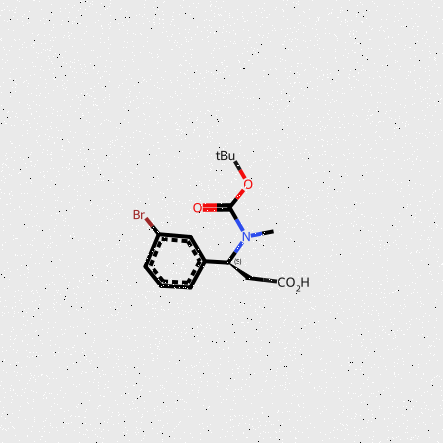 CN(C(=O)OC(C)(C)C)[C@@H](CC(=O)O)c1cccc(Br)c1